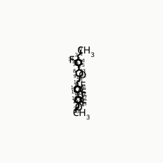 CCCc1ccc(C2CCC(CCc3ccc(-c4ccc(OCC)c(F)c4F)c(F)c3F)OC2)cc1F